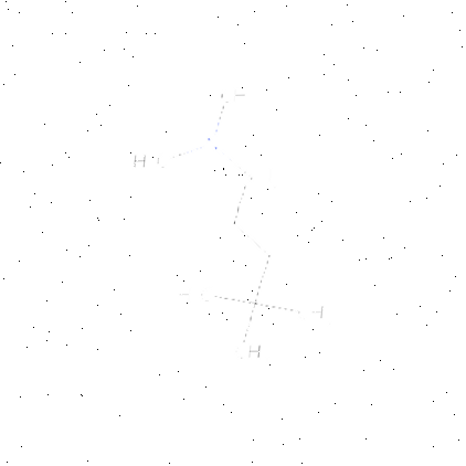 CN(C)[SiH2]CCC(C)(C)C